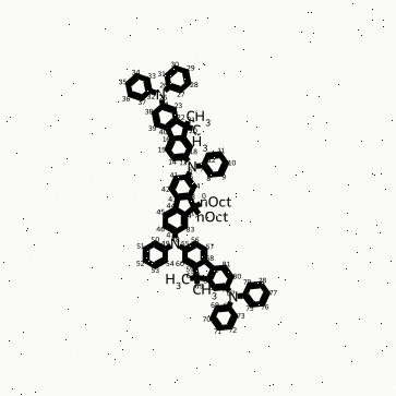 CCCCCCCCC1(CCCCCCCC)c2cc(N(c3ccccc3)c3ccc4c(c3)C(C)(C)c3cc(N(c5ccccc5)c5ccccc5)ccc3-4)ccc2-c2ccc(N(c3ccccc3)c3ccc4c(c3)C(C)(C)c3cc(N(c5ccccc5)c5ccccc5)ccc3-4)cc21